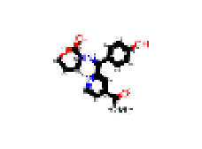 COC(=O)c1ccnc(C(=N)c2ccc(O)cc2)c1.OC1CCCCO1